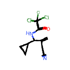 C=C(C#N)C(NC(=O)C(Cl)(Cl)Cl)C1CC1